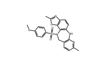 COc1ccc(S(=O)(=O)N2Cc3ccc(C)nc3Nc3ccc4nc(C)oc4c32)cc1